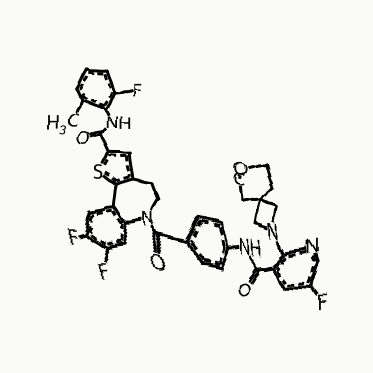 Cc1cccc(F)c1NC(=O)c1cc2c(s1)-c1cc(F)c(F)cc1N(C(=O)c1ccc(NC(=O)c3cc(F)cnc3N3CC4(CCOCC4)C3)cc1)CC2